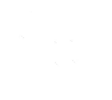 CC(C)(C)OC(=O)NC1=NC(C)(c2cc(NC(=O)OC(C)(C)C)ccc2F)Cn2cc(Cl)nc21